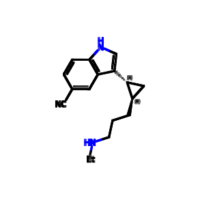 CCNCCC[C@@H]1C[C@H]1c1c[nH]c2ccc(C#N)cc12